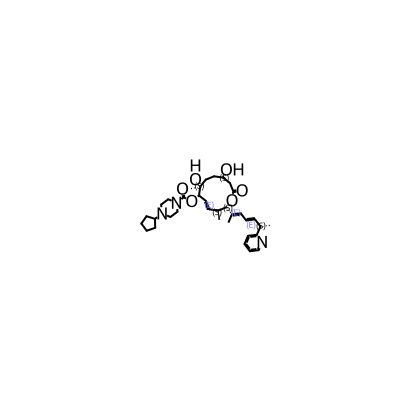 C/C(=C\C=C\[C@H](C)c1ccccn1)[C@H]1OC(=O)C[C@@H](O)CC[C@](C)(O)C(OC(=O)N2CCN(C3CCCC3)CC2)/C=C/[C@@H]1C